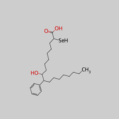 CCCCCCCCC(c1ccccc1)C(O)CCCCCCC([SeH])C(=O)O